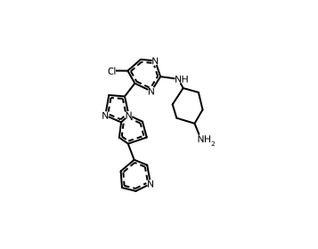 NC1CCC(Nc2ncc(Cl)c(-c3cnc4cc(-c5cccnc5)ccn34)n2)CC1